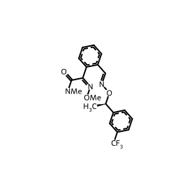 CNC(=O)C(=NOC)c1ccccc1C=NO[C@H](C)c1cccc(C(F)(F)F)c1